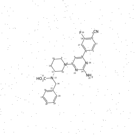 N#Cc1ccc(-c2cc(N3CCC[C@@H](N(Cc4ccccc4)C(=O)O)C3)nc(N)n2)cc1F